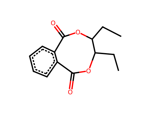 CCC1OC(=O)c2ccccc2C(=O)OC1CC